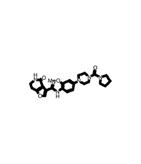 COc1cc(N2CCN(C(=O)N3CCCC3)CC2)ccc1NC(=O)c1coc2c1C(=O)NCC2